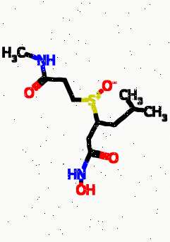 CNC(=O)CC[S+]([O-])C(CC(=O)NO)CC(C)C